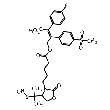 CC(C)(SN=O)C1COC(=O)N1CCCCC(=O)OCC(=C(C(=O)O)c1ccc(F)cc1)c1ccc(S(C)(=O)=O)cc1